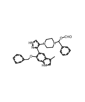 Cc1c[nH]c2cc(OCc3ccccc3)c(-c3n[nH]cc3N3CCN(C(OC=O)c4ccccc4)CC3)cc12